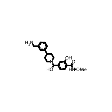 CONC(=O)c1ccc(C(O)N2CCC(c3cccc(CN)c3)CC2)cc1O